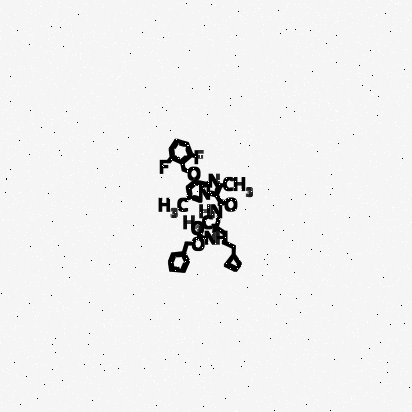 Cc1cc(OCc2c(F)cccc2F)c2nc(C)c(C(=O)NCC(C)(CCCC3C=CC3)NC(=O)OCc3ccccc3)n2c1